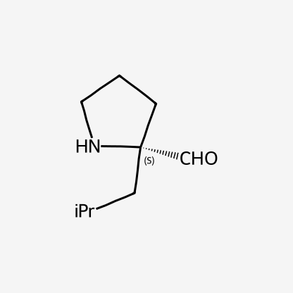 CC(C)C[C@]1(C=O)CCCN1